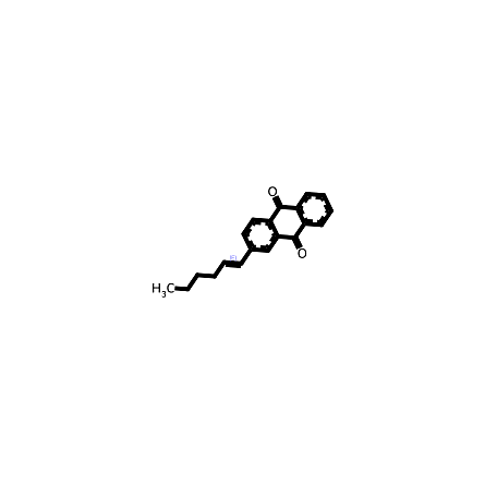 CCCC/C=C/c1ccc2c(c1)C(=O)c1ccccc1C2=O